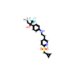 CCC(O)(c1ccc(NCCc2ccc(S(=O)(=O)CC3CC3)nc2)cc1)C(F)(F)F